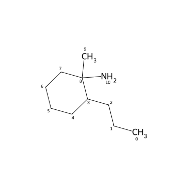 CCCC1CCCCC1(C)N